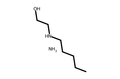 CCCCCNCCO.N